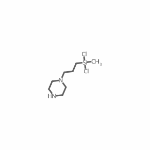 C[Si](Cl)(Cl)CCCN1CCNCC1